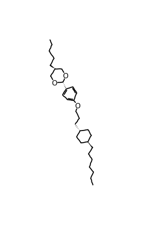 CCCCCCC[C@H]1CC[C@H](CCCOc2ccc([C@H]3OC[C@H](CCCCC)CO3)cc2)CC1